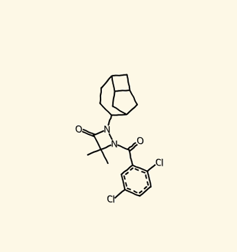 CC1(C)C(=O)N(C2CCC3CC4CC2CC34)N1C(=O)c1cc(Cl)ccc1Cl